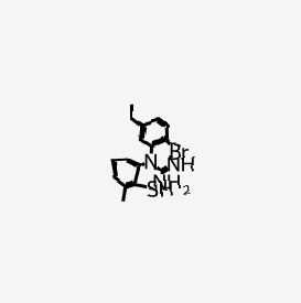 CCc1ccc(Br)c(N(C(=N)N)c2cccc(C)c2S)c1